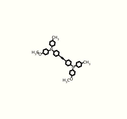 COc1ccc(N(c2ccc(C)cc2)c2ccc(C#Cc3ccc(N(c4ccc(C)cc4)c4ccc(OC)cc4)cc3)cc2)cc1